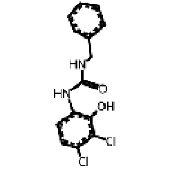 O=C(NCc1ccccc1)Nc1ccc(Cl)c(Cl)c1O